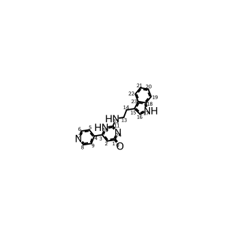 O=c1cc(-c2ccncc2)[nH]c(NCCc2c[nH]c3ccccc23)n1